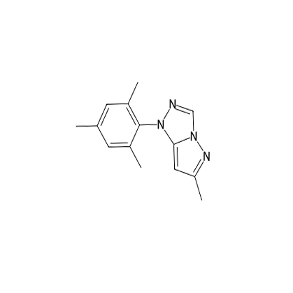 Cc1cc(C)c(-n2ncn3nc(C)cc23)c(C)c1